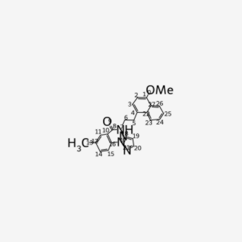 COc1ccc(CCNC(=O)c2cc(C)ccc2-n2nccn2)c2ccccc12